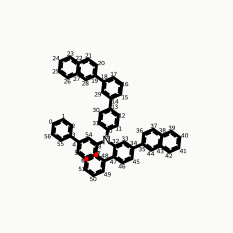 c1ccc(-c2cccc(N(c3ccc(-c4cccc(-c5ccc6ccccc6c5)c4)cc3)c3cc(-c4ccc5ccccc5c4)ccc3-c3ccccc3)c2)cc1